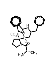 C[C@H](N)C(=O)N1CCC[C@]1(C(=O)O)P(=O)(CC(Cc1ccccc1)NC(=O)c1ccccc1)OCc1ccccc1